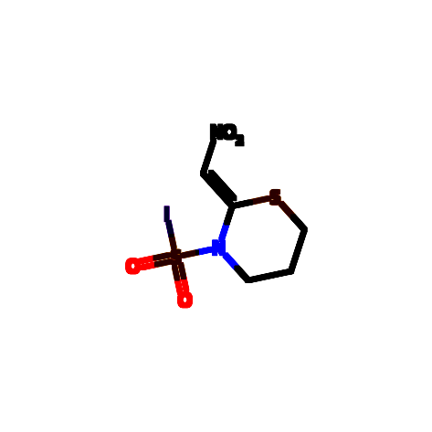 O=[N+]([O-])C=C1SCCCN1S(=O)(=O)I